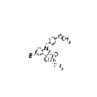 CCOC(=O)C1=CN(Cc2ccc(OC)cc2)c2ccc(Br)cc2C1Cl